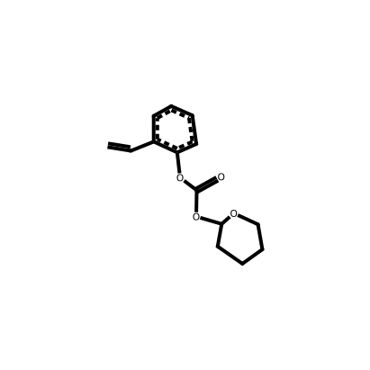 C=Cc1ccccc1OC(=O)OC1CCCCO1